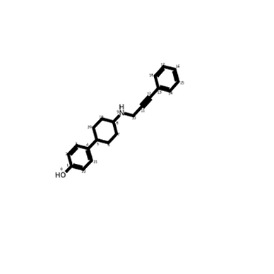 Oc1ccc(C2CCC(NCC#Cc3ccccc3)CC2)cc1